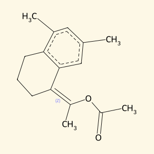 CC(=O)O/C(C)=C1/CCCc2c(C)cc(C)cc21